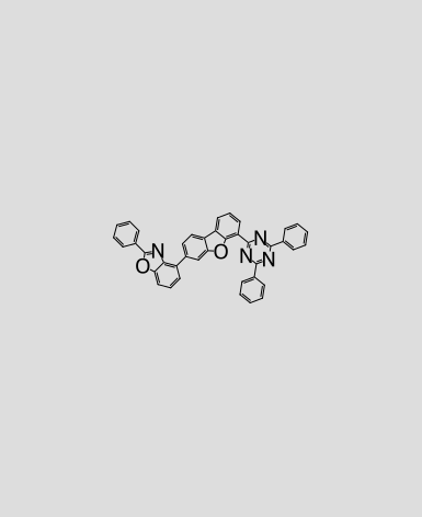 c1ccc(-c2nc(-c3ccccc3)nc(-c3cccc4c3oc3cc(-c5cccc6oc(-c7ccccc7)nc56)ccc34)n2)cc1